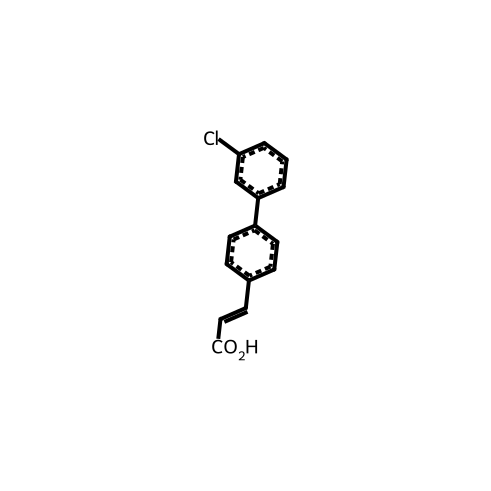 O=C(O)C=Cc1ccc(-c2cccc(Cl)c2)cc1